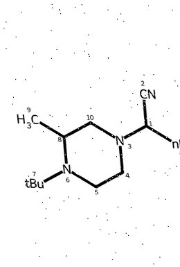 CCCC(C#N)N1CCN(C(C)(C)C)C(C)C1